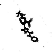 Cc1nc(C(=O)NC2CCOCC2)sc1-c1cnc(NC(C)(C)C)cc1C(F)F